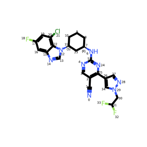 N#Cc1cnc(N[C@@H]2CCC[C@H](n3cnc4cc(F)cc(Cl)c43)C2)nc1-c1cnn(CC(F)F)c1